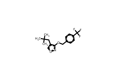 CC(C)(C)Cc1conc1OCc1ccc(C(F)(F)F)cc1